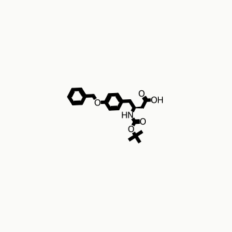 CC(C)(C)OC(=O)N[C@H](CC(=O)O)Cc1ccc(OCc2ccccc2)cc1